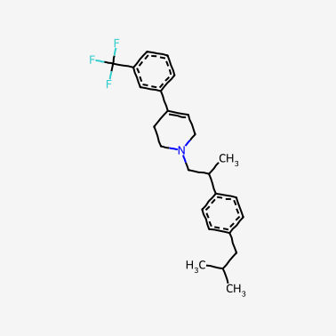 CC(C)Cc1ccc(C(C)CN2CC=C(c3cccc(C(F)(F)F)c3)CC2)cc1